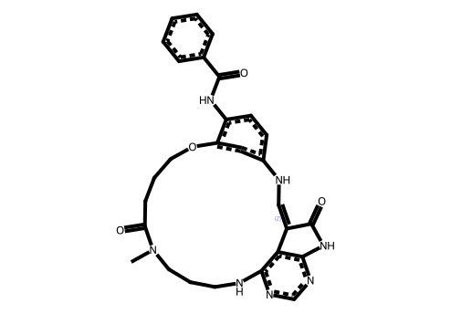 CN1CCCNc2ncnc3c2/C(=C/Nc2ccc(NC(=O)c4ccccc4)c(c2)OCCCC1=O)C(=O)N3